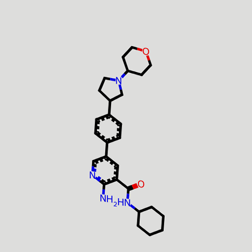 Nc1ncc(-c2ccc(C3CCN(C4CCOCC4)C3)cc2)cc1C(=O)NC1CCCCC1